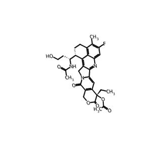 CC[C@@]1(OC(C)=O)C(=O)OCc2c1cc1n(c2=O)Cc2c-1nc1cc(F)c(C)c3c1c2[C@H]([C@@H](CCO)NC(C)=O)CC3